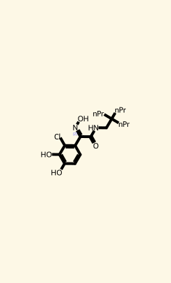 CCCC(CCC)(CCC)CNC(=O)/C(=N\O)c1ccc(O)c(O)c1Cl